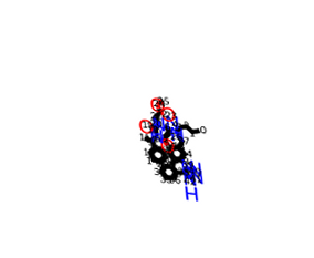 CCCc1nc2c(c(=O)n(C(C)c3ccccc3)c(=O)n2CC(=O)OC)n1Cc1ccc(-c2ccccc2-c2nnn[nH]2)cc1